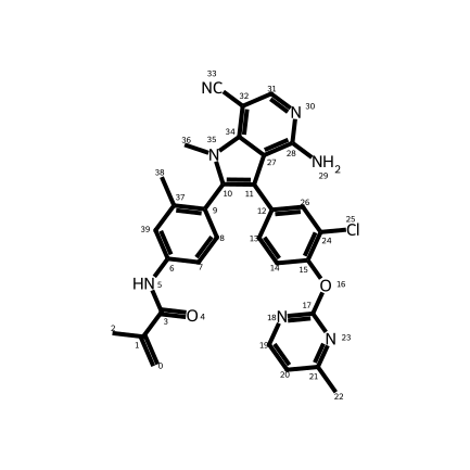 C=C(C)C(=O)Nc1ccc(-c2c(-c3ccc(Oc4nccc(C)n4)c(Cl)c3)c3c(N)ncc(C#N)c3n2C)c(C)c1